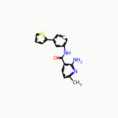 Cc1ccc(C(=O)Nc2cccc(-c3cccs3)c2)c(N)n1